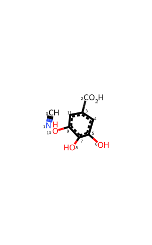 C#N.O=C(O)c1cc(O)c(O)c(O)c1